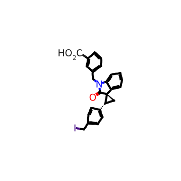 O=C(O)c1cccc(CN2C(=O)[C@]3(C[C@@H]3c3ccc(CI)cc3)c3ccccc32)c1